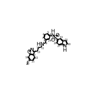 O=S(=O)(Nc1cccc(CNCCCc2noc3cc(F)ccc23)c1)c1ccc2[nH]ccc2c1